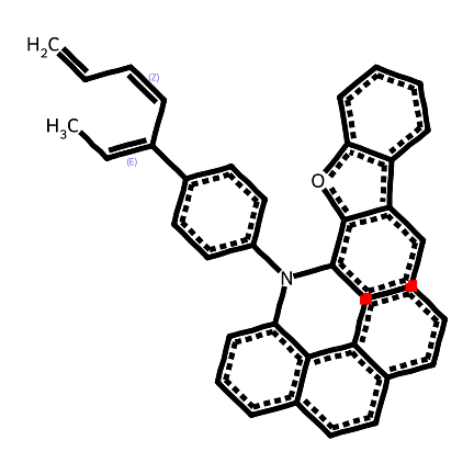 C=C/C=C\C(=C/C)c1ccc(N(c2cccc3c2oc2ccccc23)c2cccc3ccc4ccccc4c23)cc1